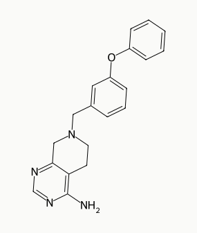 Nc1ncnc2c1CCN(Cc1cccc(Oc3ccccc3)c1)C2